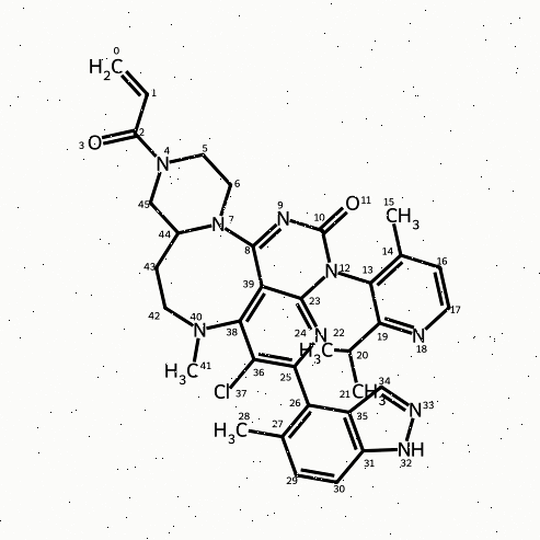 C=CC(=O)N1CCN2c3nc(=O)n(-c4c(C)ccnc4C(C)C)c4nc(-c5c(C)ccc6[nH]ncc56)c(Cl)c(c34)N(C)CCC2C1